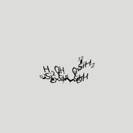 C[SiH2]O[SiH](O)CCC[SiH](O)O[SiH2]C